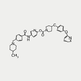 CC1CCN(Cc2ccc(C(=O)Nc3ccc(OC(=O)N4CCC(Oc5ccc(Oc6ccccn6)cc5)CC4)nc3)cc2)CC1